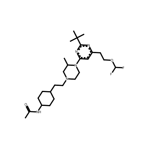 CC(=O)NC1CCC(CCN2CCN(c3cc(CCOC(F)F)nc(C(C)(C)C)n3)C(C)C2)CC1